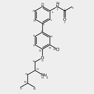 CC(=O)Nc1cc(-c2ccc(OCC(N)CC(C)C)c(Cl)c2)ccn1